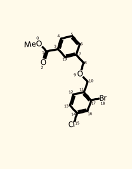 COC(=O)c1cccc([CH]OCc2ccc(Cl)cc2Br)c1